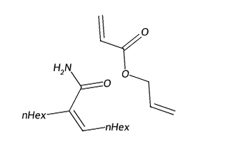 C=CCOC(=O)C=C.CCCCCCC=C(CCCCCC)C(N)=O